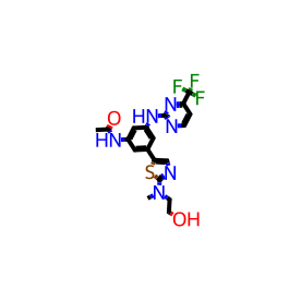 CC(=O)Nc1cc(Nc2nccc(C(F)(F)F)n2)cc(-c2cnc(N(C)CCO)s2)c1